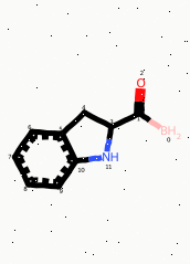 BC(=O)C1Cc2ccccc2N1